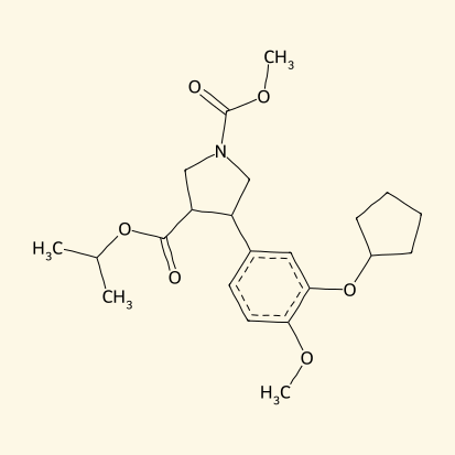 COC(=O)N1CC(C(=O)OC(C)C)C(c2ccc(OC)c(OC3CCCC3)c2)C1